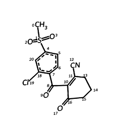 CS(=O)(=O)c1ccc(C(=O)C2=C(C#N)CCCC2=O)c(Cl)c1